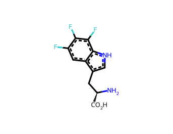 N[C@H](Cc1c[nH]c2c(F)c(F)c(F)cc12)C(=O)O